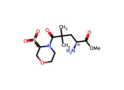 COC(=O)[C@@H](N)CC(C)(C)C(=O)N1CCOCC1=S(=O)=O